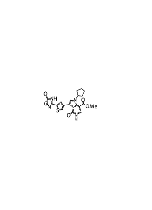 COC(=O)c1c[nH]c(=O)c2c(-c3csc(-c4noc(=O)[nH]4)c3)cn(C3CCCC3)c12